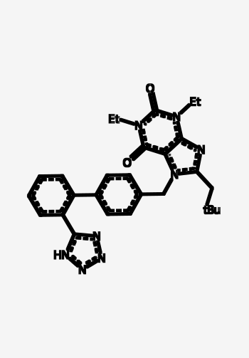 CCn1c(=O)c2c(nc(CC(C)(C)C)n2Cc2ccc(-c3ccccc3-c3nnn[nH]3)cc2)n(CC)c1=O